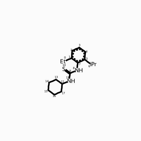 CCc1cccc(C(C)C)c1NC(=S)NC1CCCCC1